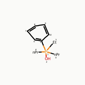 CCCP(O)(CC)(CCC)c1ccccc1